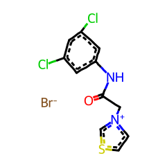 O=C(C[n+]1ccsc1)Nc1cc(Cl)cc(Cl)c1.[Br-]